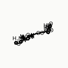 Nc1ncnc2c1c(-c1ccc(Oc3ccccc3)cc1)nn2C1CCCN(C(=O)c2cn(CCCCOCCOCCNc3cccc4c3C(=O)N(C3CCC(=O)NC3=O)C4=O)nn2)C1